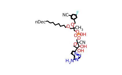 CCCCCCCCCCCCCCCCCCOCC(C)(COP(=O)(O)OC[C@@]1(C#N)OC[C@@](O)(c2ccc3c(N)ncnn23)[C@@H]1O)OCc1cc(F)cc(C#N)c1